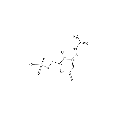 CC(=O)NO[C@@H](CC=O)[C@@H](O)[C@H](O)COS(=O)(=O)O